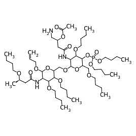 C=CCOC1OC(COC2OC(COCCCC)C(OP(=O)(OCCCC)OCCCC)C(OCCCC)C2NC(=O)CC(CN)OC(C)=O)C(OCCCC)C(OCCCC)C1NC(=O)C[C@@H](C)OCCCC